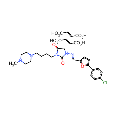 CN1CCN(CCCCN2C(=O)CN(N=Cc3ccc(-c4ccc(Cl)cc4)o3)C2=O)CC1.O=C(O)C=CC(=O)O.O=C(O)C=CC(=O)O